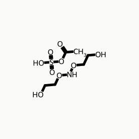 CC(=O)OS(=O)(=O)O.OCCONOCCO